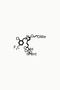 CCCCCS(=O)(=O)NC(=O)C=Cc1cc(OCCOC)nn1Cc1ccc(C(F)(F)F)cc1Cl